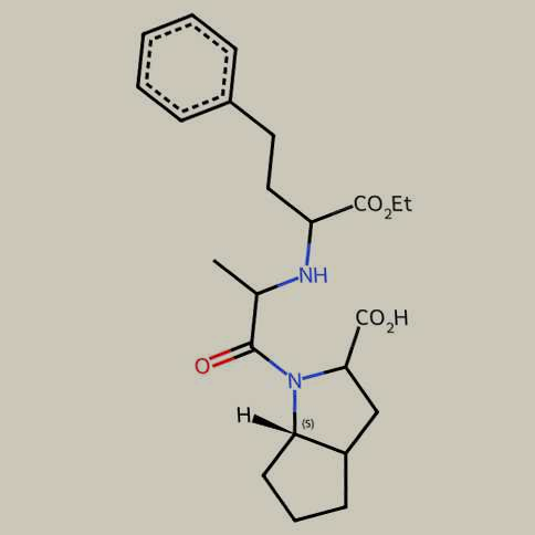 CCOC(=O)C(CCc1ccccc1)NC(C)C(=O)N1C(C(=O)O)CC2CCC[C@@H]21